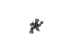 CC(C)(C)c1ccc(N2B3c4sc5ccc(-c6ccccc6)cc5c4-n4c5cc6c(cc5c5c7sc8ccccc8c7c(c3c54)-c3cc4sc5cc7c(cc5c4cc32)C(C)(C)CCC7(C)C)C(C)(C)CCC6(C)C)cc1